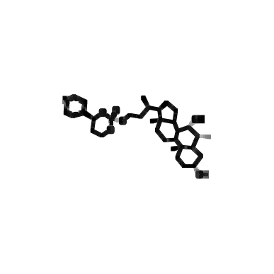 C[C@H](CCO[P@]1(=O)OCC[C@@H](c2ccncc2)O1)[C@H]1CCC2C3C(CC[C@@]21C)[C@@]1(C)CC[C@@H](O)CC1[C@@H](C)[C@H]3O